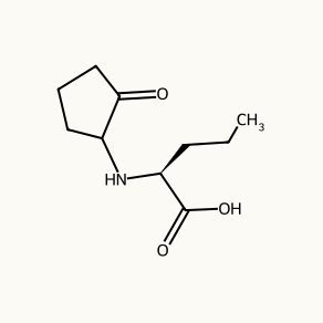 CCC[C@H](NC1CCCC1=O)C(=O)O